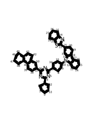 c1ccc(-c2nc(-c3ccc(-n4c5ccccc5c5ccc(-c6nc7ccccc7s6)cc54)cc3)nc(-c3ccc4c(ccc5ccccc54)c3)n2)cc1